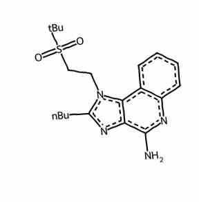 CCCCc1nc2c(N)nc3ccccc3c2n1CCS(=O)(=O)C(C)(C)C